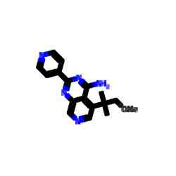 COCC(C)(C)c1cncc2nc(-c3ccncc3)nc(N)c12